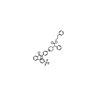 O=C(Nc1ccc(N2CCC(C(C(=O)OCCCc3ccccc3)c3ccccc3)CC2)cc1)c1ccccc1-c1ccc(C(F)(F)F)cc1